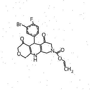 C=COC(=O)N1CC(=O)C2=C(C1)NC1=C(C(=O)COC1)C2c1ccc(F)c(Br)c1